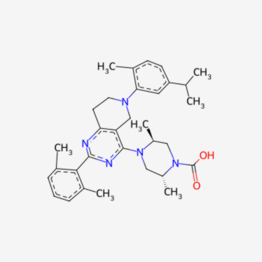 Cc1ccc(C(C)C)cc1N1CCc2nc(-c3c(C)cccc3C)nc(N3C[C@@H](C)N(C(=O)O)C[C@@H]3C)c2C1